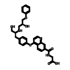 O=C(O)CNC(=O)c1ccc2c(Oc3ccc(C[C@@H](CO)NC[C@H](O)COc4ccccc4)cc3)ccnc2c1